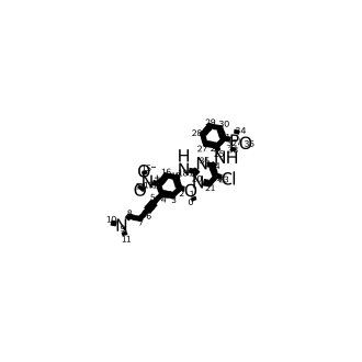 COc1cc(C#CCCN(C)C)c([N+](=O)[O-])cc1Nc1ncc(Cl)c(Nc2ccccc2P(C)(C)=O)n1